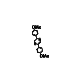 COc1ccc(C2=CSC(c3ccc(OC)cc3)=CS2)cc1